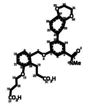 CNC(=O)c1cc(OCc2cccc(OCCCC(=O)O)c2CCC(=O)O)cc(-c2ccc3c(c2)OCCO3)c1